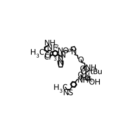 Cc1cc(N)nc(-c2c(Cl)cc3c(N4CC5CCC(C4)N5)nc(OC[C@@H]4CCCN4CCCOCCC(=O)N[C@H](C(=O)N4C[C@H](O)C[C@H]4C(=O)NCc4ccc(-c5scnc5C)cc4)C(C)(C)C)nc3c2F)c1C(F)(F)F